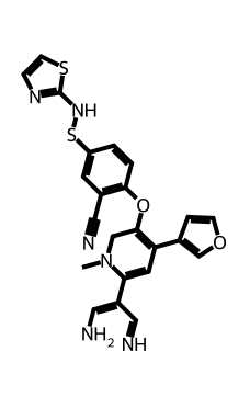 CN1CC(Oc2ccc(SNc3nccs3)cc2C#N)=C(c2ccoc2)C=C1/C(C=N)=C/N